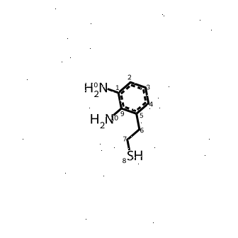 Nc1cccc(CCS)c1N